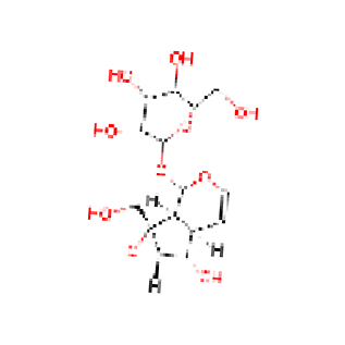 OCC1OC(O[C@@H]2OC=C[C@H]3[C@H](O)[C@@H]4O[C@]4(CO)[C@@H]23)C(O)C(O)C1O